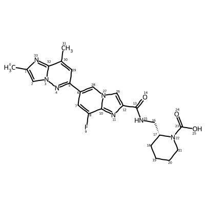 Cc1cn2nc(-c3cc(F)c4nc(C(=O)NC[C@H]5CCCCN5C(=O)O)cn4c3)cc(C)c2n1